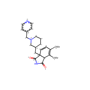 COC1=C(OC)C2C(=O)NC(=O)C2(CC2CCCN(Cc3ccncc3)C2)C=C1